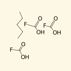 CCCCC.O=C(O)F.O=C(O)F.O=C(O)F